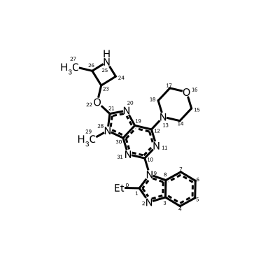 CCc1nc2ccccc2n1-c1nc(N2CCOCC2)c2nc(OC3CNC3C)n(C)c2n1